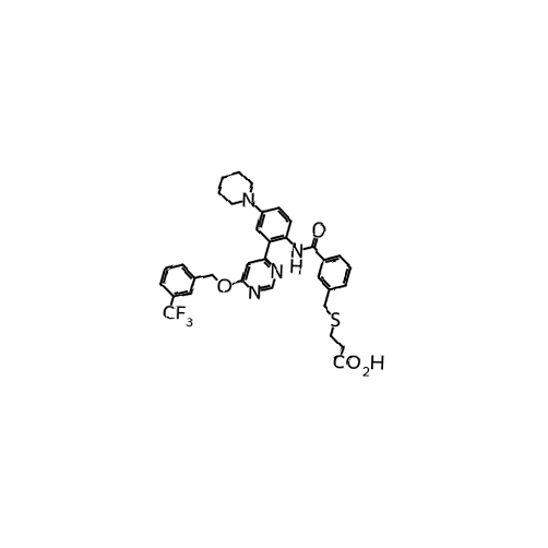 O=C(O)CCSCc1cccc(C(=O)Nc2ccc(N3CCCCC3)cc2-c2cc(OCc3cccc(C(F)(F)F)c3)ncn2)c1